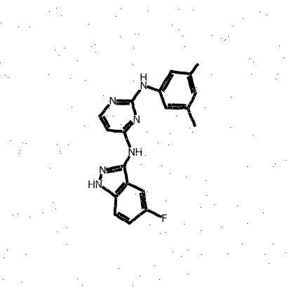 Cc1cc(C)cc(Nc2nccc(Nc3n[nH]c4ccc(F)cc34)n2)c1